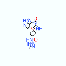 CCC(=O)N(c1n[nH]c2nccc(Oc3ccc(C(=O)Nc4nnc(C)[nH]4)cc3)c12)C1CCNC1